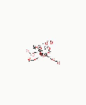 C[Si](C)(C)O[Si](C)(C)O[Si](C)(CCCOCC1CO1)O[Si](C)(CCCOCC1CO1)O[Si](C)(CCCOCC1CO1)O[Si](C)(CCCOCC1CO1)O[Si](C)(C)C